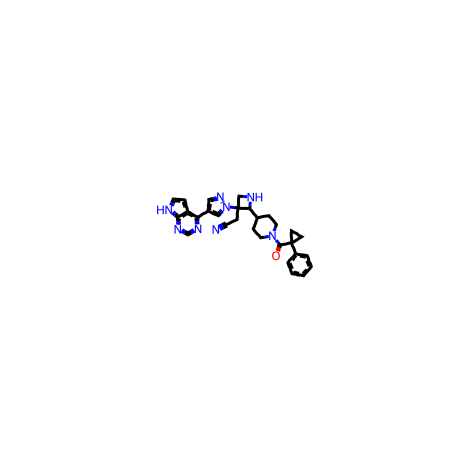 N#CCC1(n2cc(-c3ncnc4[nH]ccc34)cn2)CNC1C1CCN(C(=O)C2(c3ccccc3)CC2)CC1